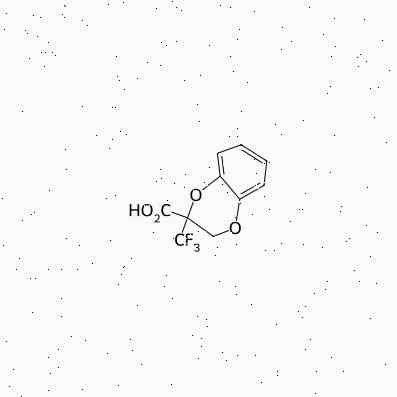 O=C(O)C1(C(F)(F)F)COc2ccccc2O1